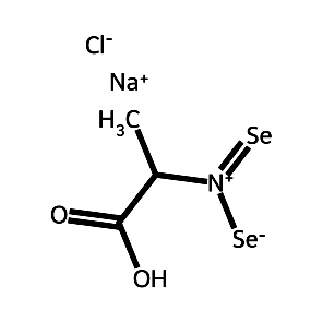 CC(C(=O)O)[N+](=[Se])[Se-].[Cl-].[Na+]